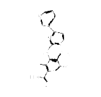 CCc1cc(C(N)=O)c(CC)c(Nc2nccc(-c3cccnc3)n2)c1C